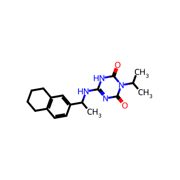 CC(Nc1nc(=O)n(C(C)C)c(=O)[nH]1)c1ccc2c(c1)CCCC2